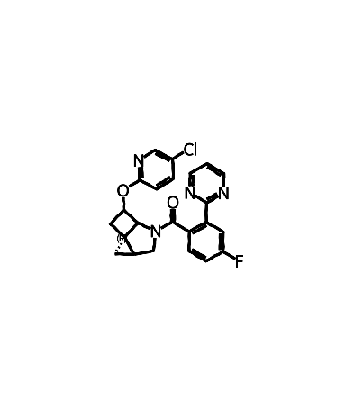 O=C(c1ccc(F)cc1-c1ncccn1)N1CC2C[C@@]23CC(Oc2ccc(Cl)cn2)C13